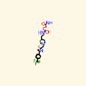 CNC(=O)COC(=O)NCCC1CCN(Cc2nc(-c3ccc(C(F)(F)F)cc3)cs2)CC1